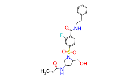 C=CC(=O)NC1CC(CO)N(S(=O)(=O)c2ccc(C(=O)NCCc3ccccc3)c(F)c2)C1